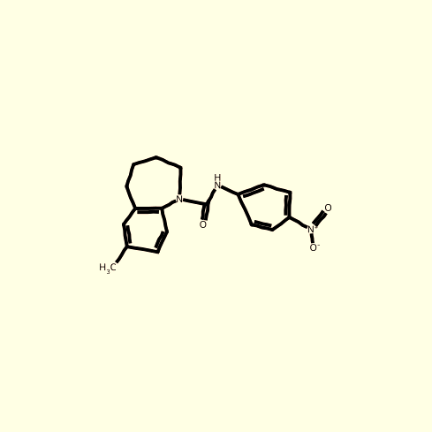 Cc1ccc2c(c1)CCCCN2C(=O)Nc1ccc([N+](=O)[O-])cc1